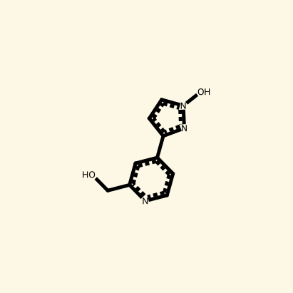 OCc1cc(-c2ccn(O)n2)ccn1